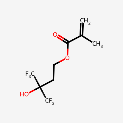 C=C(C)C(=O)OCCC(O)(C(F)(F)F)C(F)(F)F